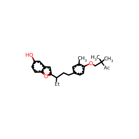 CCC(CCc1ccc(OCC(C)(C)C(C)=O)c(C)c1)c1cc2cc(O)ccc2o1